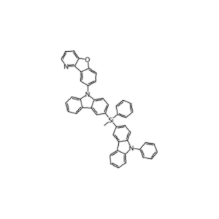 C[Si](c1ccccc1)(c1ccc2c(c1)c1ccccc1n2-c1ccccc1)c1ccc2c(c1)c1ccccc1n2-c1ccc2oc3cccnc3c2c1